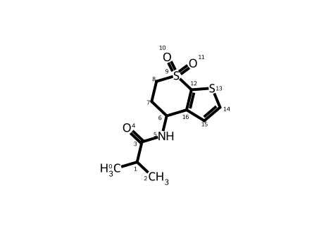 CC(C)C(=O)NC1CCS(=O)(=O)c2sccc21